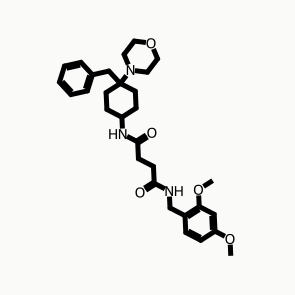 COc1ccc(CNC(=O)CCC(=O)NC2CCC(Cc3ccccc3)(N3CCOCC3)CC2)c(OC)c1